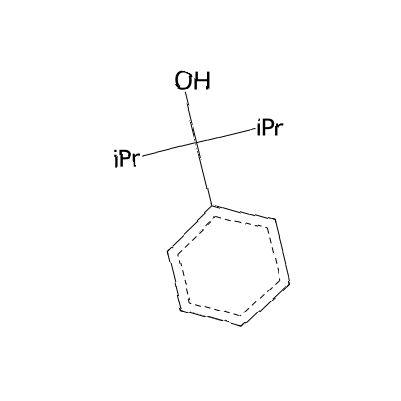 CC(C)C(O)(c1ccccc1)C(C)C